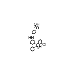 O=C(O)Cc1ccc(CNc2cccc(-c3c(-c4ccccc4)nnc4c(Cl)cccc34)c2)cc1